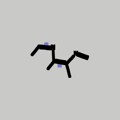 C=N/C(C)=C(C)\N=C/C